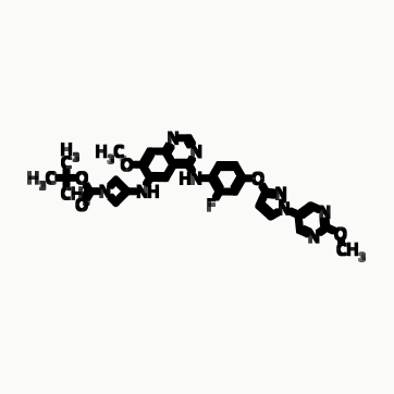 COc1ncc(-n2ccc(Oc3ccc(Nc4ncnc5cc(OC)c(NC6CN(C(=O)OC(C)(C)C)C6)cc45)c(F)c3)n2)cn1